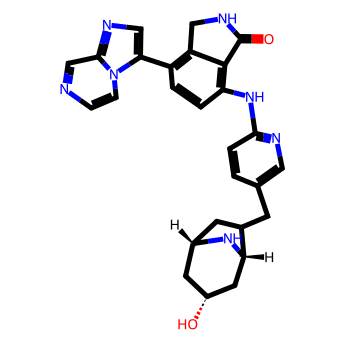 O=C1NCc2c(-c3cnc4cnccn34)ccc(Nc3ccc(CC4C[C@H]5C[C@@H](O)C[C@@H]4N5)cn3)c21